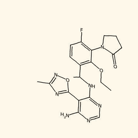 CCOc1c(C(C)Nc2ncnc(N)c2-c2nc(C)no2)ccc(F)c1N1CCCC1=O